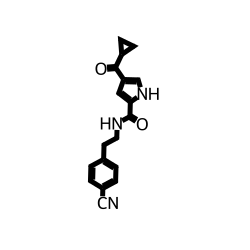 N#Cc1ccc(CCNC(=O)c2cc(C(=O)C3CC3)c[nH]2)cc1